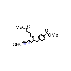 COC(=O)CCCSC(/C=C/C=C/C=O)Cc1ccc(C(=O)OC)cc1